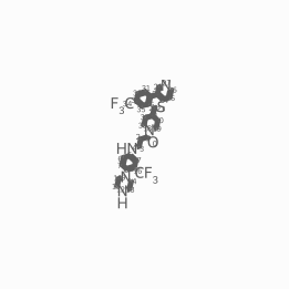 O=C(CCNc1ccc(N2CCNCC2)c(C(F)(F)F)c1)N1CCC(CSc2ccncc2-c2ccc(C(F)(F)F)cc2)CC1